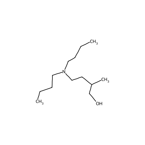 CCCCN(CCCC)CCC(C)CO